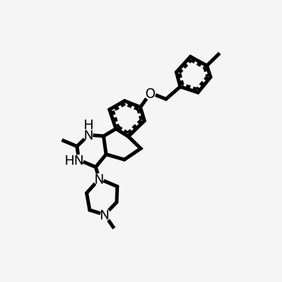 Cc1ccc(COc2ccc3c(c2)CCC2C3NC(C)NC2N2CCN(C)CC2)cc1